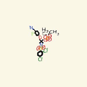 CCOP(=O)(OCC)OCC1(COc2ccc(C#N)c(F)c2)CN(S(=O)(=O)c2ccc(Cl)cc2Cl)C1